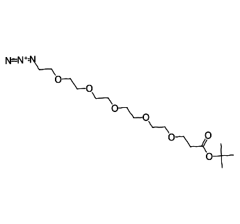 CC(C)(C)OC(=O)CCOCCOCCOCCOCCOCCN=[N+]=[N-]